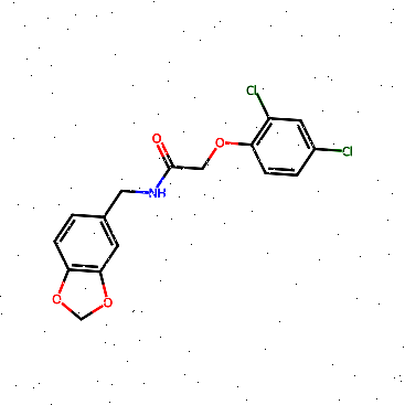 O=C(COc1ccc(Cl)cc1Cl)NCc1ccc2c(c1)OCO2